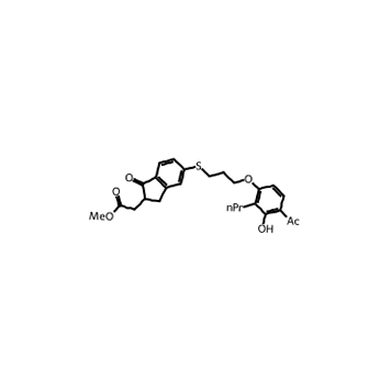 CCCc1c(OCCCSc2ccc3c(c2)CC(CC(=O)OC)C3=O)ccc(C(C)=O)c1O